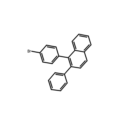 Brc1ccc(-c2c(-c3ccccc3)ccc3ccccc23)cc1